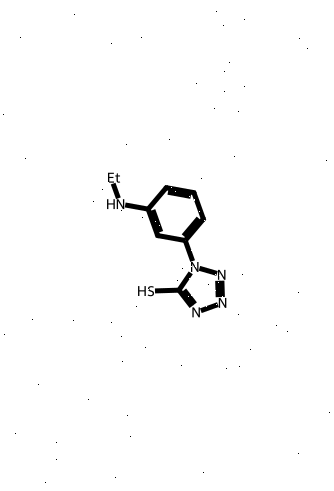 CCNc1cccc(-n2nnnc2S)c1